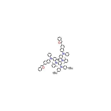 Cc1cccc(C)c1N1c2cc(N(c3ccccc3)c3ccc4cc(-c5cc6ccccc6o5)ccc4c3)ccc2B2c3ccc(N(c4ccccc4)c4ccc5cc(-c6cc7ccccc7o6)ccc5c4)cc3N(c3c(C)cccc3C)c3cc(N(c4ccc(C(C)(C)C)cc4)c4ccc(C(C)(C)C)cc4)cc1c32